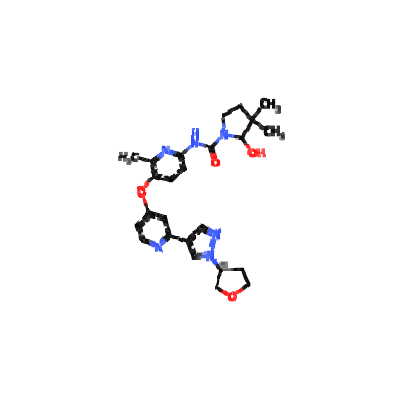 Cc1nc(NC(=O)N2CCC(C)(C)C2O)ccc1Oc1ccnc(-c2cnn([C@H]3CCOC3)c2)c1